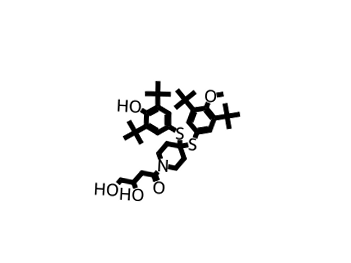 COc1c(C(C)(C)C)cc(SC2(Sc3cc(C(C)(C)C)c(O)c(C(C)(C)C)c3)CCN(C(=O)CC(O)CO)CC2)cc1C(C)(C)C